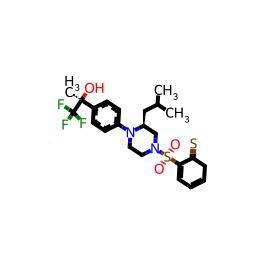 CC(C)C[C@H]1CN(S(=O)(=O)C2=CC=CCC2=S)CCN1c1ccc([C@](C)(O)C(F)(F)F)cc1